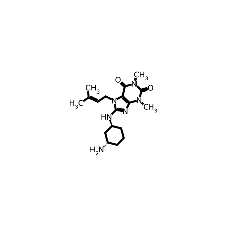 CC(C)=CCn1c(N[C@H]2CCC[C@H](N)C2)nc2c1c(=O)n(C)c(=O)n2C